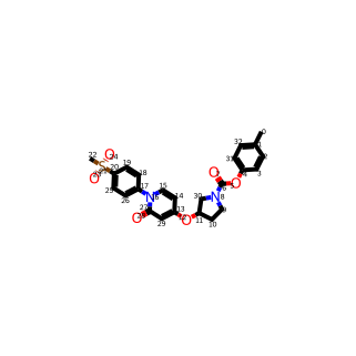 Cc1ccc(OC(=O)N2CCC(Oc3ccn(-c4ccc(S(C)(=O)=O)cc4)c(=O)c3)C2)cc1